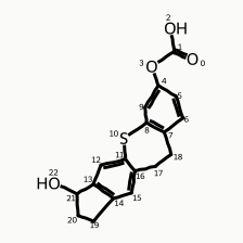 O=C(O)Oc1ccc2c(c1)Sc1cc3c(cc1CC2)CCC3O